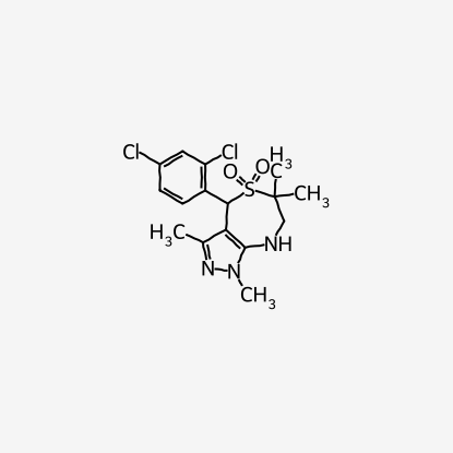 Cc1nn(C)c2c1C(c1ccc(Cl)cc1Cl)S(=O)(=O)C(C)(C)CN2